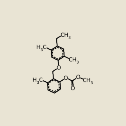 CCc1cc(C)c(OCc2c(C)cccc2OC(=O)OC)cc1C